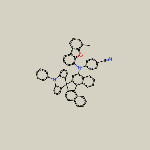 Cc1cccc2c1oc1c(N(c3ccc(C#N)cc3)c3cc4c(c5ccccc35)-c3c(ccc5ccccc35)C43c4ccccc4N(c4ccccc4)c4ccccc43)cccc12